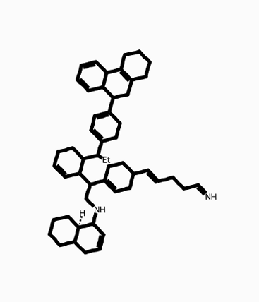 CCC(C1=CC=C(C2CC3=C(CCCC3)C3C=CC=CC32)CC1)C1CCC=CC1C(CNC1C=CCC2CCCC[C@H]21)C1=CCC(/C=C/CCC=N)CC1